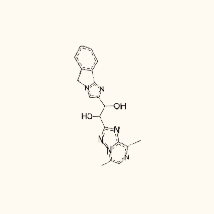 Cc1ncc(C)n2nc(C(O)C(O)c3cn4c(n3)-c3ccccc3C4)nc12